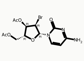 CC(=O)OC[C@H]1O[C@@H](n2ccc(N)nc2=O)[C@H](Br)[C@@H]1OC(C)=O